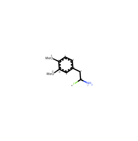 COc1ccc(CC(N)F)cc1OC